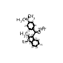 CCCOC(c1ccc(N(C)C)cc1)c1c(C)n(CC)c2ccccc12